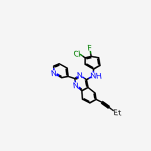 CCC#Cc1ccc2nc(-c3cccnc3)nc(Nc3ccc(F)c(Cl)c3)c2c1